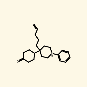 C=CCCCC1(C2CCC(=O)CC2)CC[SiH](c2ccccc2)CC1